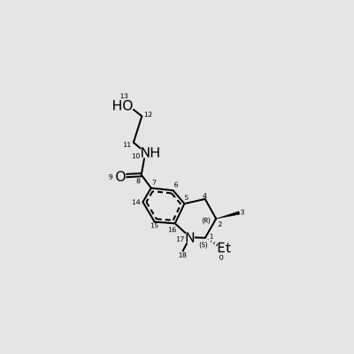 CC[C@H]1[C@H](C)Cc2cc(C(=O)NCCO)ccc2N1C